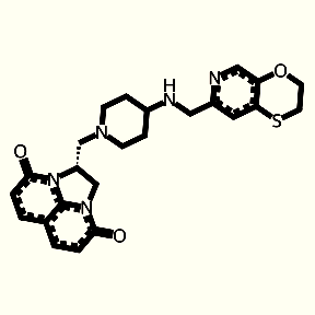 O=c1ccc2ccc(=O)n3c2n1C[C@H]3CN1CCC(NCc2cc3c(cn2)OCCS3)CC1